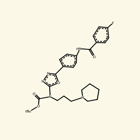 CC(C)(C)OC(=O)N(CCCN1CCCCC1)c1nnc(-c2ccc(NC(=O)c3ccc(F)cc3)cc2)o1